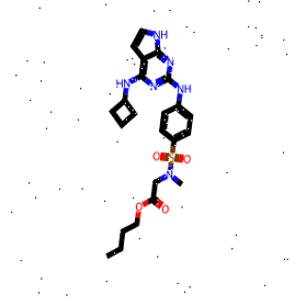 CCCCOC(=O)CN(C)S(=O)(=O)c1ccc(Nc2nc(NC3CCC3)c3cc[nH]c3n2)cc1